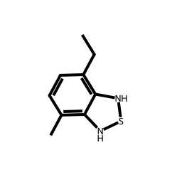 CCc1ccc(C)c2c1NSN2